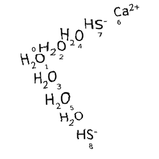 O.O.O.O.O.O.[Ca+2].[SH-].[SH-]